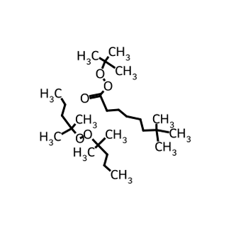 CC(C)(C)CCCCCC(=O)OOC(C)(C)C.CCCC(C)(C)OOC(C)(C)CCC